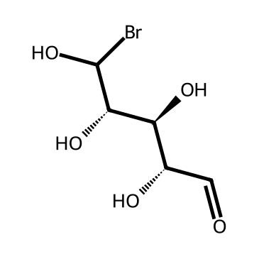 O=C[C@H](O)[C@H](O)[C@H](O)C(O)Br